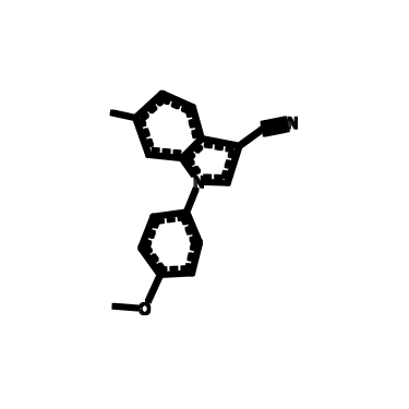 COc1ccc(-n2cc(C#N)c3ccc(C)cc32)cc1